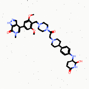 COc1cc(-c2cn(C)c(=O)c3[nH]ncc23)cc(OC)c1CN1CCN(C(=O)CN2CCC(c3ccc(NC4CCC(=O)NC4O)cc3)CC2)CC1